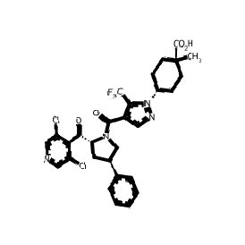 C[C@]1(C(=O)O)CC[C@H](n2ncc(C(=O)N3C[C@@H](c4ccccc4)C[C@@H]3C(=O)c3c(Cl)cncc3Cl)c2C(F)(F)F)CC1